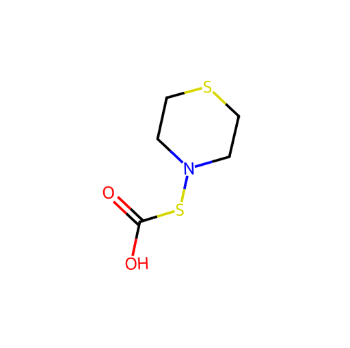 O=C(O)SN1CCSCC1